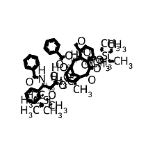 CC[Si](CC)(CC)OC1CC2OCC2(OC(C)=O)[C@H]2[C@H](OC(=O)c3ccccc3)[C@]3(O)C[C@H](OC(=O)[C@H](O[Si](C)(C)C(C)(C)C)[C@@H](NC(=O)c4ccccc4)c4ccccc4)C(C)=C(C(=O)C(=O)[C@]12C)C3(C)C